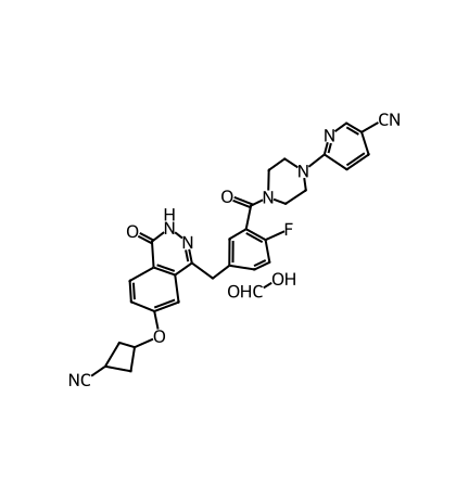 N#Cc1ccc(N2CCN(C(=O)c3cc(Cc4n[nH]c(=O)c5ccc(OC6CC(C#N)C6)cc45)ccc3F)CC2)nc1.O=CO